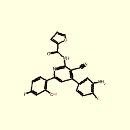 N#Cc1c(-c2ccc(F)c(N)c2)cc(-c2ccc(F)cc2O)nc1NC(=O)c1ccco1